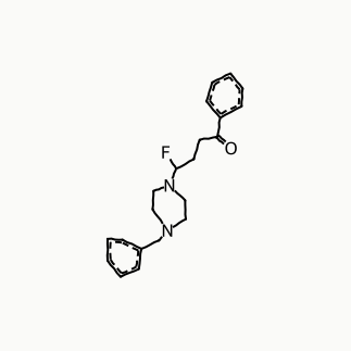 O=C(CCC(F)N1CCN(Cc2ccccc2)CC1)c1ccccc1